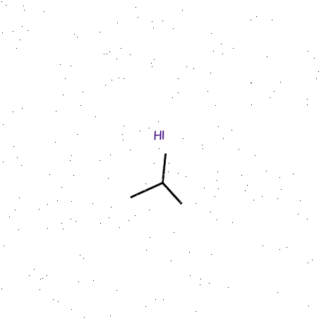 CC(C)C.I